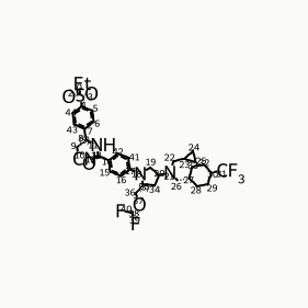 CCS(=O)(=O)c1ccc([C@H](CC#N)NC(=O)c2ccc(N3CC(N(CC4CC4)C[C@H]4CC[C@H](C(F)(F)F)CC4)C[C@H]3COC(F)F)cc2)cc1